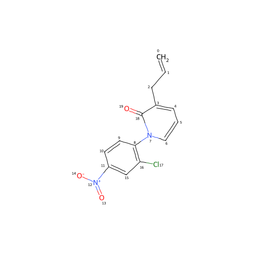 C=CCc1cccn(-c2ccc([N+](=O)[O-])cc2Cl)c1=O